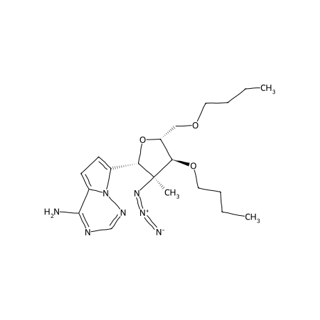 CCCCOC[C@H]1O[C@@H](c2ccc3c(N)ncnn23)[C@](C)(N=[N+]=[N-])[C@@H]1OCCCC